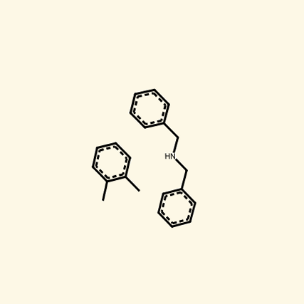 Cc1ccccc1C.c1ccc(CNCc2ccccc2)cc1